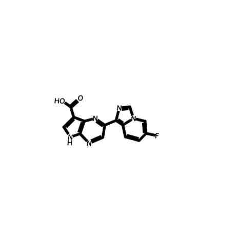 O=C(O)c1c[nH]c2ncc(-c3ncn4cc(F)ccc34)nc12